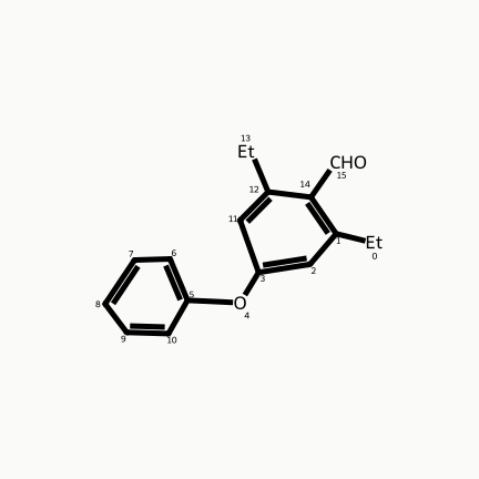 CCc1cc(Oc2ccccc2)cc(CC)c1C=O